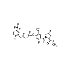 COC(=O)[C@@H]1C[C@@H](F)CN1C(=O)c1cc(C2CC2)c(OCC2(F)CCN(Cc3cc(C(F)(F)F)ccc3Cl)CC2)cc1F